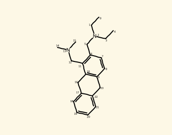 CCN(CC)Cc1ccc2c(c1CN(C)C)Cc1ccccc1C2